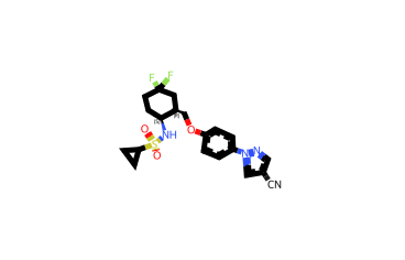 N#Cc1cnn(-c2ccc(OC[C@@H]3CC(F)(F)CC[C@@H]3NS(=O)(=O)C3CC3)cc2)c1